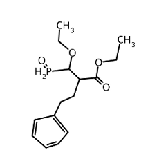 CCOC(=O)C(CCc1ccccc1)C(OCC)[PH2]=O